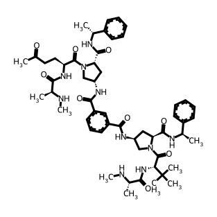 CN[C@@H](C)C(=O)N[C@@H](CCC(C)=O)C(=O)N1C[C@@H](NC(=O)c2cccc(C(=O)N[C@H]3C[C@@H](C(=O)N[C@H](C)c4ccccc4)N(C(=O)[C@@H](NC(=O)[C@H](C)NC)C(C)(C)C)C3)c2)C[C@H]1C(=O)N[C@H](C)c1ccccc1